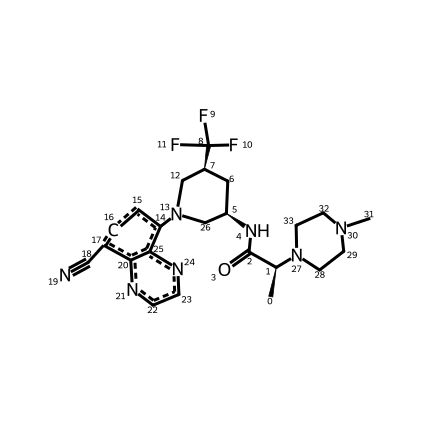 C[C@@H](C(=O)N[C@@H]1C[C@H](C(F)(F)F)CN(c2ccc(C#N)c3nccnc23)C1)N1CCN(C)CC1